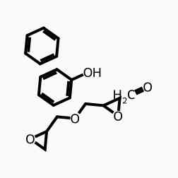 C(OCC1CO1)C1CO1.C=O.Oc1ccccc1.c1ccccc1